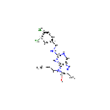 CC(=O)NCCn1c(=O)c(C(F)(F)F)nc2cnc(NCc3ccc(Cl)c(Cl)c3)nc21